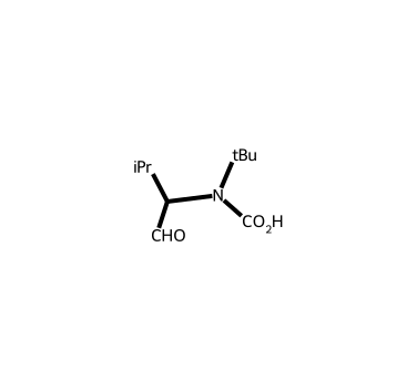 CC(C)C(C=O)N(C(=O)O)C(C)(C)C